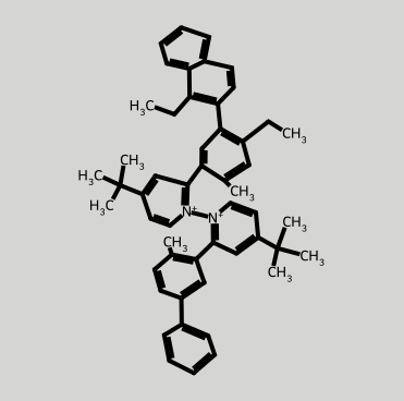 CCc1cc(C)c(-c2cc(C(C)(C)C)cc[n+]2-[n+]2ccc(C(C)(C)C)cc2-c2cc(-c3ccccc3)ccc2C)cc1-c1ccc2ccccc2c1CC